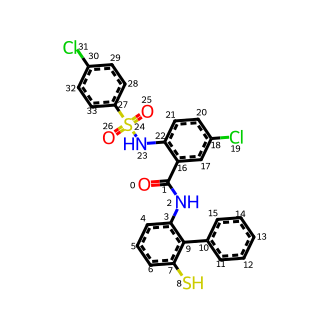 O=C(Nc1cccc(S)c1-c1ccccc1)c1cc(Cl)ccc1NS(=O)(=O)c1ccc(Cl)cc1